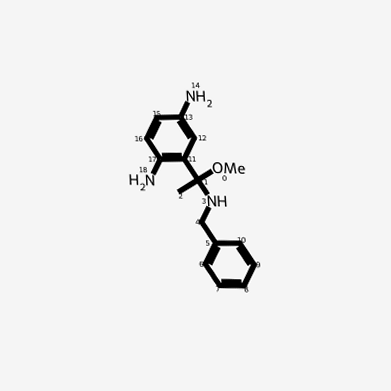 COC(C)(NCc1ccccc1)c1cc(N)ccc1N